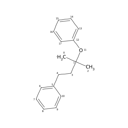 [CH2]C(C)(CCc1ccccc1)Oc1ccccc1